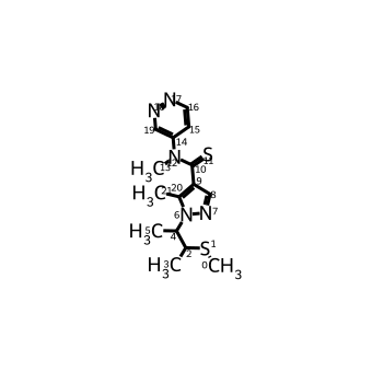 CSC(C)C(C)n1ncc(C(=S)N(C)c2ccnnc2)c1C